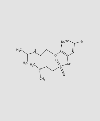 CC(C)NCCOc1ncc(Br)cc1NS(=O)(=O)CCN(C)C